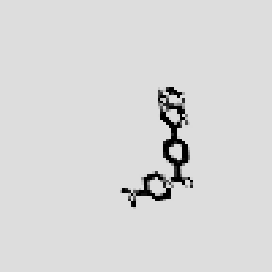 CN(C)C1CCN(C(=O)c2ccc(-c3cn4ncsc4n3)cc2)CC1